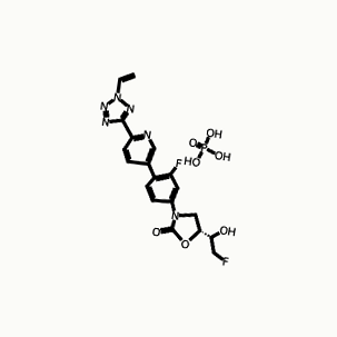 C=Cn1nnc(-c2ccc(-c3ccc(N4C[C@H](C(O)CF)OC4=O)cc3F)cn2)n1.O=P(O)(O)O